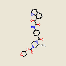 C[C@H]1CN(C(=O)O[C@@H]2CCOC2)CCN1C(=O)c1ccc(NC(=O)C(=O)c2cccc3cccnc23)cc1